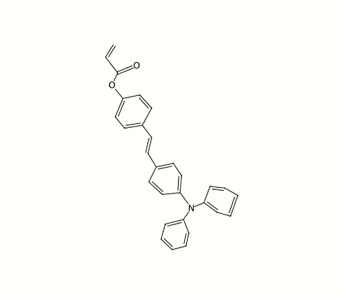 C=CC(=O)Oc1ccc(/C=C/c2ccc(N(c3ccccc3)c3ccccc3)cc2)cc1